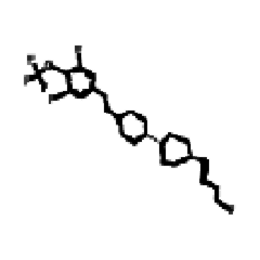 FCC/C=C/[C@H]1CC[C@H](C2CCC(CCc3cc(F)c(OC(F)(F)F)c(F)c3)CC2)CC1